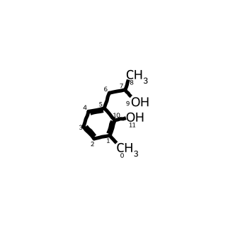 Cc1cccc(CC(C)O)c1O